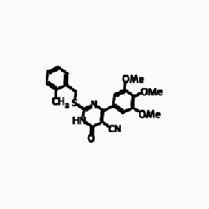 COc1cc(-c2nc(SCc3ccccc3C)[nH]c(=O)c2C#N)cc(OC)c1OC